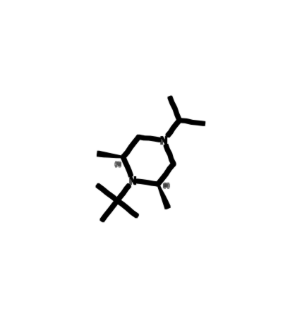 CC(C)N1C[C@@H](C)N(C(C)(C)C)[C@@H](C)C1